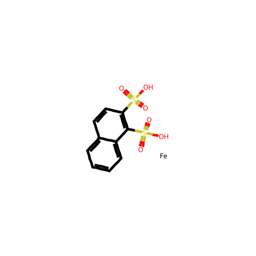 O=S(=O)(O)c1ccc2ccccc2c1S(=O)(=O)O.[Fe]